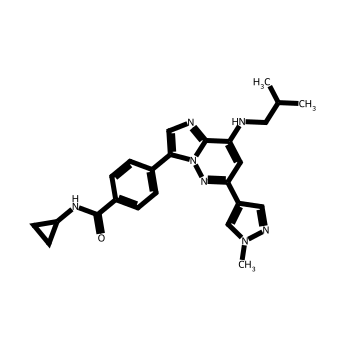 CC(C)CNc1cc(-c2cnn(C)c2)nn2c(-c3ccc(C(=O)NC4CC4)cc3)cnc12